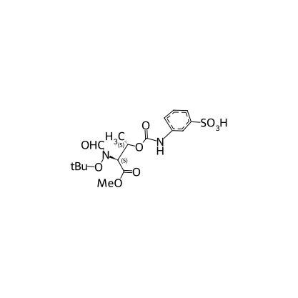 COC(=O)[C@H]([C@H](C)OC(=O)Nc1cccc(S(=O)(=O)O)c1)N(C=O)OC(C)(C)C